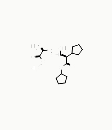 C=C(OC)C(=O)OC.CC=C(C(=O)OC1CCCC1)C1CCCC1